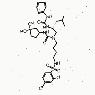 CC(C)C[C@H](CN(CCCCNS(=O)(=O)c1ccc(Cl)cc1Cl)C(=O)NC1CCS(O)(O)C1)NC(=O)Nc1ccccc1